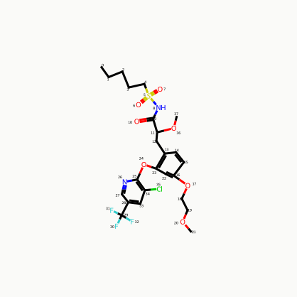 CCCCCS(=O)(=O)NC(=O)C(Cc1ccc(OCCOC)cc1Oc1ncc(C(F)(F)F)cc1Cl)OC